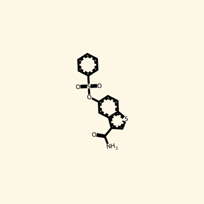 NC(=O)c1csc2ccc(OS(=O)(=O)c3ccccc3)cc12